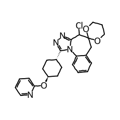 ClC1c2nnc([C@H]3CC[C@H](Oc4ccccn4)CC3)n2-c2ccccc2CC12OCCCO2